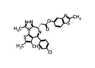 Cc1nc2cc(OC(=O)C[C@@H]3N=C(c4ccc(Cl)cc4)c4c(sc(C)c4C)-n4c(C)nnc43)ccc2s1